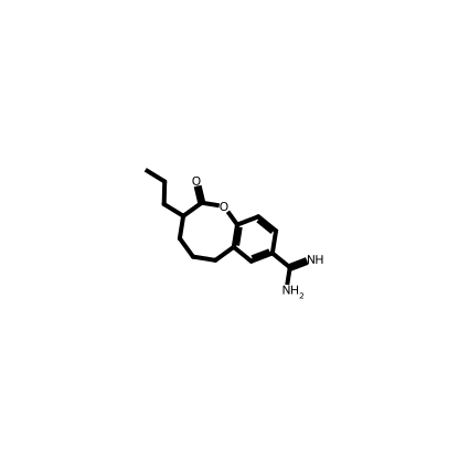 CCCC1CCCc2cc(C(=N)N)ccc2OC1=O